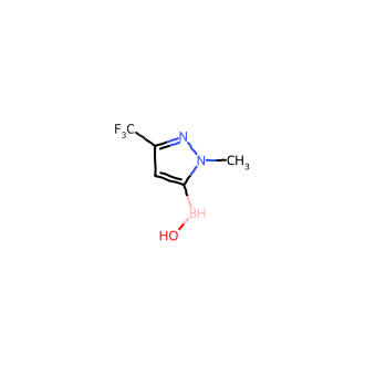 Cn1nc(C(F)(F)F)cc1BO